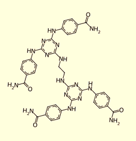 NC(=O)c1ccc(Nc2nc(NCCNc3nc(Nc4ccc(C(N)=O)cc4)nc(Nc4ccc(C(N)=O)cc4)n3)nc(Nc3ccc(C(N)=O)cc3)n2)cc1